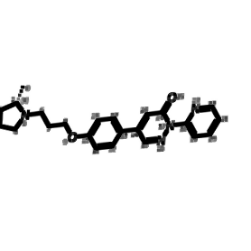 C[C@H]1CCCN1CCCOc1ccc(-c2cnn(-c3ccccn3)c(=O)c2)cc1